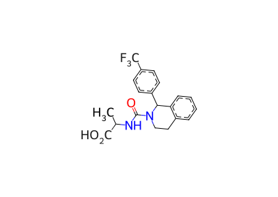 CC(NC(=O)N1CCc2ccccc2C1c1ccc(C(F)(F)F)cc1)C(=O)O